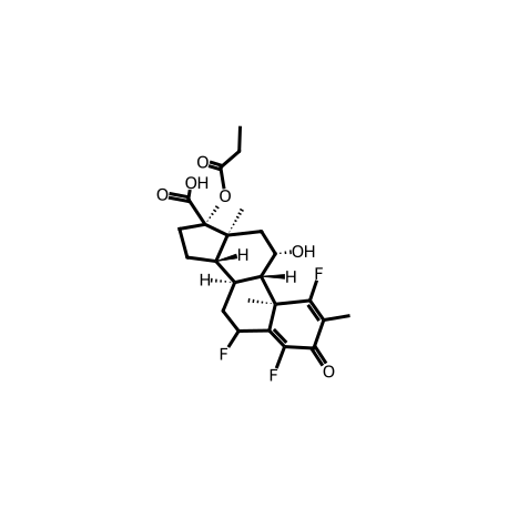 CCC(=O)O[C@@]1(C(=O)O)CC[C@H]2[C@@H]3CC(F)C4=C(F)C(=O)C(C)=C(F)[C@]4(C)[C@H]3[C@@H](O)C[C@@]21C